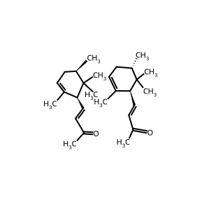 CC(=O)/C=C/[C@H]1C(C)=CC[C@H](C)C1(C)C.CC(=O)C=C[C@H]1C(C)=CC[C@@H](C)C1(C)C